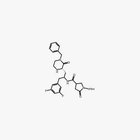 CCCCCCN1CC(C(=O)NC(Cc2cc(F)cc(F)c2)C[C@@H]2NCCN(Cc3ccccc3)C2=O)CC1=O